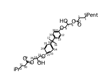 CCCC(C)CCC(=O)OCC(O)COc1ccc(C(C)(C)c2ccc(OCC(O)COC(=O)CCC(C)C)cc2)cc1